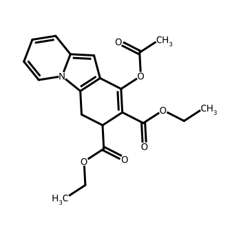 CCOC(=O)C1=C(OC(C)=O)c2cc3ccccn3c2CC1C(=O)OCC